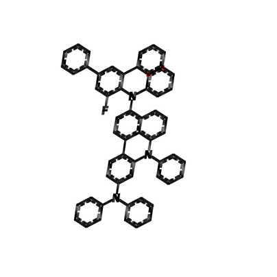 Fc1cc(-c2ccccc2)cc(-c2ccccc2)c1N(c1ccccc1)c1ccc2c3c(cccc13)N(c1ccccc1)c1cc(N(c3ccccc3)c3ccccc3)ccc1-2